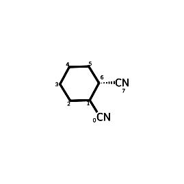 N#CC1CCCC[C@@H]1C#N